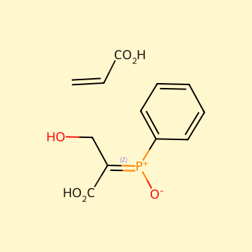 C=CC(=O)O.O=C(O)/C(CO)=[P+](\[O-])c1ccccc1